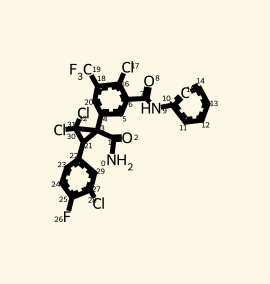 NC(=O)C1(c2cc(C(=O)Nc3ccccc3)c(Cl)c(C(F)(F)F)c2)C(c2ccc(F)c(Cl)c2)C1(Cl)Cl